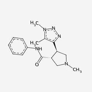 Cc1c([C@H]2CN(C)C[C@@H]2C(=O)Nc2ccccc2)nnn1C